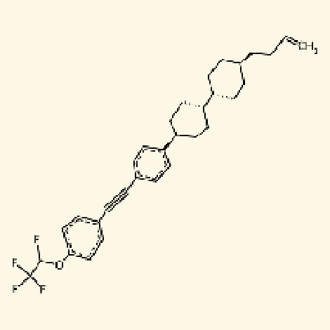 C=CCC[C@H]1CC[C@H]([C@H]2CC[C@H](c3ccc(C#Cc4ccc(OC(F)C(F)(F)F)cc4)cc3)CC2)CC1